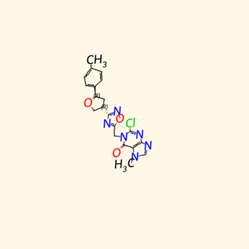 Cc1ccc([C@H]2C[C@H](c3noc(Cn4c(Cl)nc5ncn(C)c5c4=O)n3)CO2)cc1